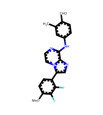 COc1ccc(-c2cnc3c(Nc4ccc(C=O)c(C)c4)nccn23)c(F)c1F